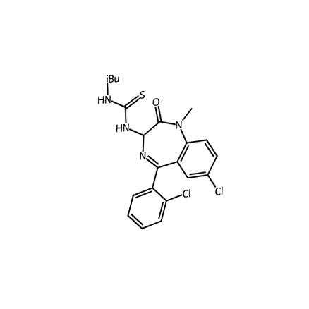 CCC(C)NC(=S)NC1N=C(c2ccccc2Cl)c2cc(Cl)ccc2N(C)C1=O